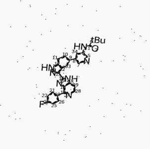 CC(C)(C)C(=O)Nc1cncc(-c2ccc3[nH]nc(-c4nc5c(-c6ccc(F)cc6)nccc5[nH]4)c3c2)c1